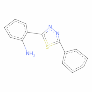 Nc1ccccc1-c1nnc(-c2ccccc2)s1